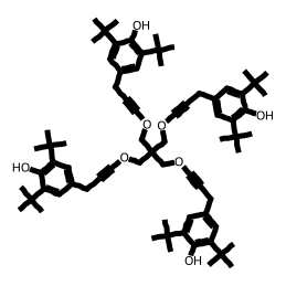 CC(C)(C)c1cc(CC#COCC(COC#CCc2cc(C(C)(C)C)c(O)c(C(C)(C)C)c2)(COC#CCc2cc(C(C)(C)C)c(O)c(C(C)(C)C)c2)COC#CCc2cc(C(C)(C)C)c(O)c(C(C)(C)C)c2)cc(C(C)(C)C)c1O